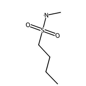 CCCCS(=O)(=O)[N]C